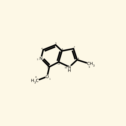 COc1nccc2cc(C)[nH]c12